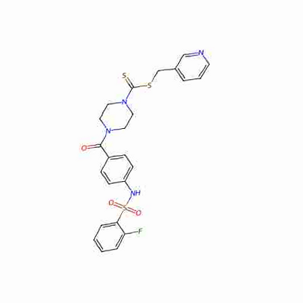 O=C(c1ccc(NS(=O)(=O)c2ccccc2F)cc1)N1CCN(C(=S)SCc2cccnc2)CC1